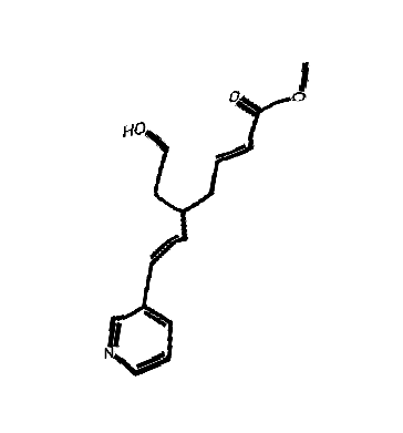 COC(=O)/C=C/CC(/C=C/c1cccnc1)CCO